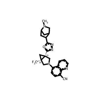 CN1CC2CC1CC2c1nnc([C@]23CN(c4ccc(C#N)c5ncccc45)C[C@@]2(C(F)(F)F)C3)o1